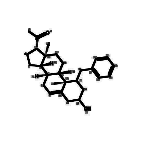 CC(=O)[C@H]1CC[C@H]2[C@@H]3CC=C4CC(O)CC(Cc5ccccc5)[C@]4(C)[C@H]3CC[C@]12C